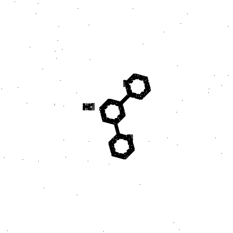 Cl.c1ccc(-c2cccc(-c3ccccn3)c2)nc1